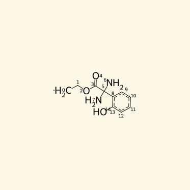 [CH2]COC(=O)C(N)(N)c1ccccc1O